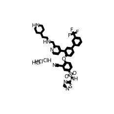 Cl.Cl.Cl.N#Cc1cc(S(=O)(=O)Nc2ncns2)ccc1Oc1ccc(-c2cccc(C(F)(F)F)c2)cc1-c1ccnc(CNCCC2CCNCC2)c1